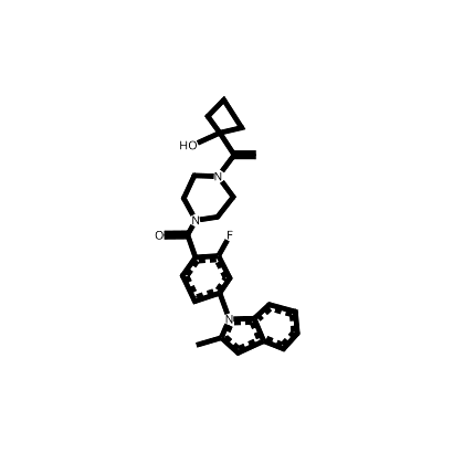 C=C(N1CCN(C(=O)c2ccc(-n3c(C)cc4ccccc43)cc2F)CC1)C1(O)CCC1